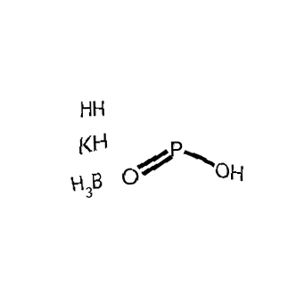 B.O=PO.[HH].[KH]